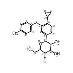 CCc1ccc(Cc2cc(C3OC(CO)C(F)C(O)C3O)ccc2C2CC2)cc1